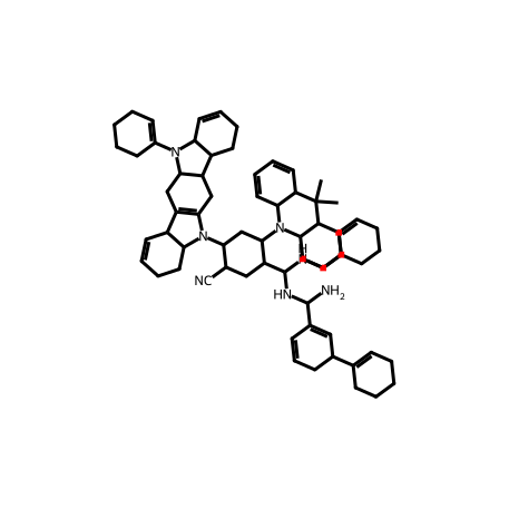 CC1(C)C2C=CC=CC2N(C2CC(N3C4=C(CC5C(C4)C4CCC=CC4N5C4=CCCCC4)C4C=CCCC43)C(C#N)CC2C(NCC2C=CCCC2)NC(N)C2=CC(C3=CCCCC3)CC=C2)C2CCCCC21